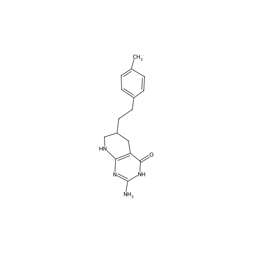 Cc1ccc(CCC2CNc3nc(N)[nH]c(=O)c3C2)cc1